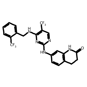 O=C1CCc2ccc(Nc3ncc(C(F)(F)F)c(NCc4ccccc4C(F)(F)F)n3)cc2N1